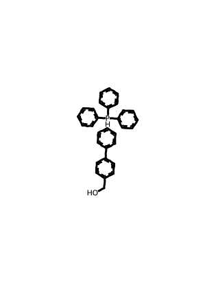 OCc1ccc(-c2ccc([PH](c3ccccc3)(c3ccccc3)c3ccccc3)cc2)cc1